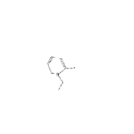 CCN1CC=CC=C1C